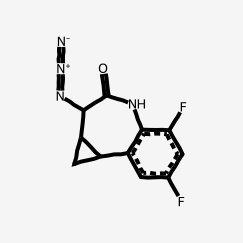 [N-]=[N+]=NC1C(=O)Nc2c(F)cc(F)cc2C2CC12